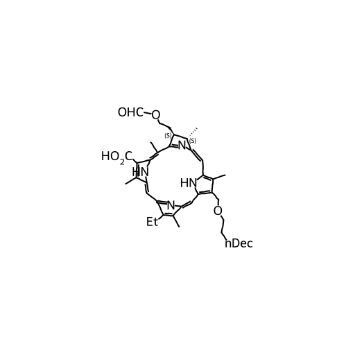 CCCCCCCCCCCCOCc1c(C)c2cc3nc(c(C)c4[nH]c(cc5nc(cc1[nH]2)C(C)=C5CC)c(C)c4C(=O)O)[C@@H](CCOC=O)[C@@H]3C